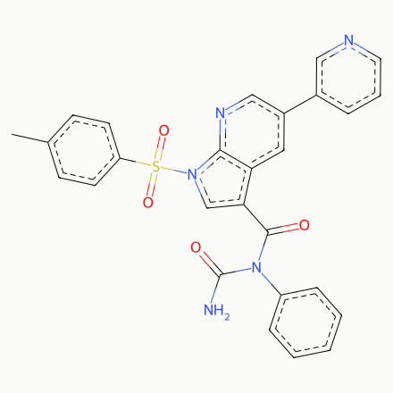 Cc1ccc(S(=O)(=O)n2cc(C(=O)N(C(N)=O)c3ccccc3)c3cc(-c4cccnc4)cnc32)cc1